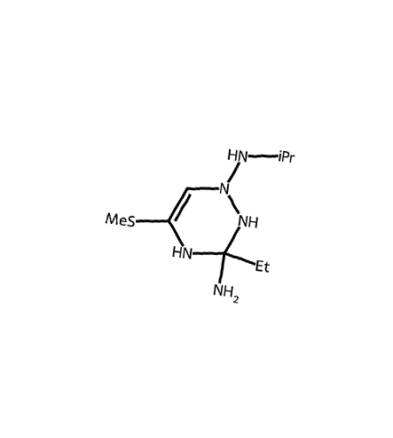 CCC1(N)NC(SC)=CN(NC(C)C)N1